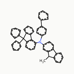 CC1c2ccccc2-c2ccc(N(c3ccc(-c4ccccc4)cc3)c3cccc4c3-c3ccccc3C4(c3ccccc3)c3ccccc3)cc21